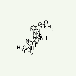 CC(=O)c1ccc(-c2ccnc3[nH]c(-c4n[nH]c5cc(F)c(-c6cncc(NC(C)C)c6)cc45)nc23)s1